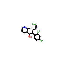 Cc1ncccc1C(O)C(C/C=C\Cl)c1ccc(Cl)cc1Cl